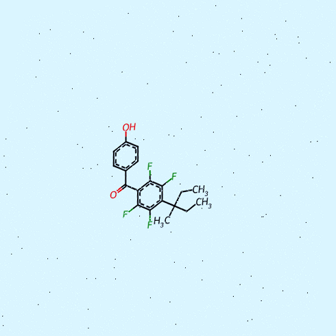 CCC(C)(CC)c1c(F)c(F)c(C(=O)c2ccc(O)cc2)c(F)c1F